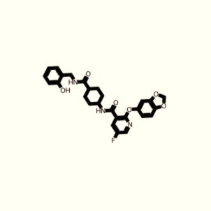 O=C(NC1CCC(C(=O)NCc2ccccc2O)CC1)c1cc(F)cnc1Oc1ccc2c(c1)OCO2